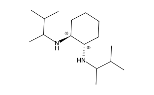 CC(C)C(C)N[C@H]1CCCC[C@@H]1NC(C)C(C)C